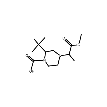 COC(=O)C(C)N1CCN(C(=O)O)C(C(C)(C)C)C1